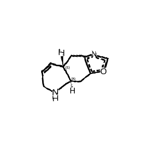 C1=C[C@@H]2Cc3ncoc3C[C@H]2NC1